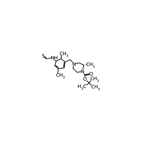 CC1=CC(NC=S)C(C)C(CN2CCN(C(=O)OC(C)(C)C)[C@@H](C)C2)=C1